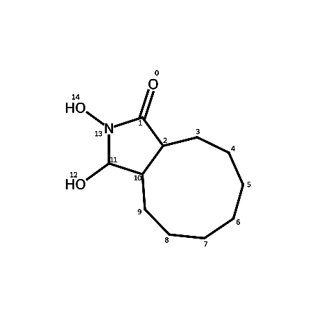 O=C1C2CCCCCCCC2C(O)N1O